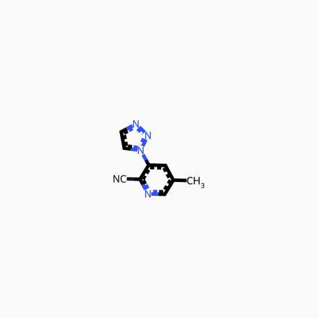 Cc1cnc(C#N)c(-n2ccnn2)c1